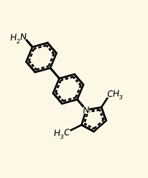 Cc1ccc(C)n1-c1ccc(-c2ccc(N)cc2)cc1